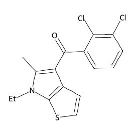 CCn1c(C)c(C(=O)c2cccc(Cl)c2Cl)c2ccsc21